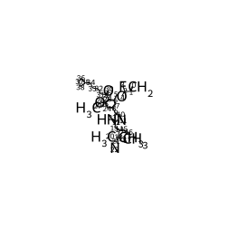 C=CC(F)OCc1cc(-c2cnc(/C=C(\C=C/C)C(C)(C)C#N)[nH]2)cc(OC)c1C(=O)CCCCC1CCC1